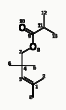 CC(C)=CC(C)(C)COC(=O)C(C)C